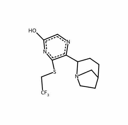 Oc1cnc(C2CCC3CCN2C3)c(SCC(F)(F)F)n1